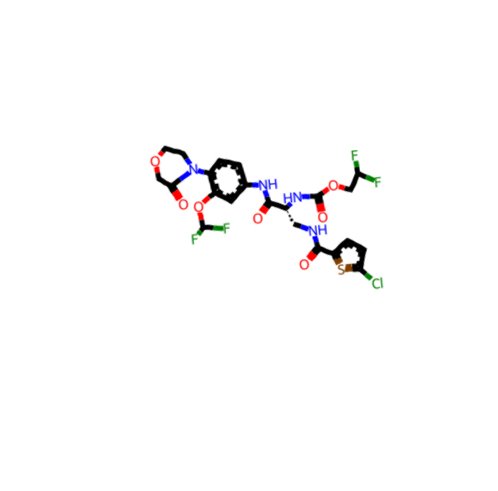 O=C(N[C@H](CNC(=O)c1ccc(Cl)s1)C(=O)Nc1ccc(N2CCOCC2=O)c(OC(F)F)c1)OCC(F)F